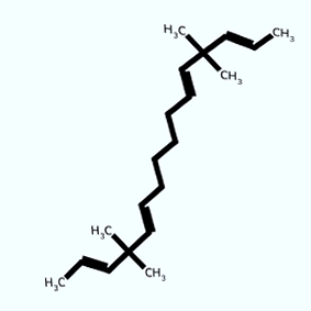 CC=CC(C)(C)C=CCCCCC=CC(C)(C)C=CC